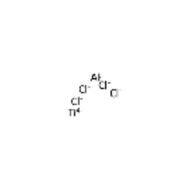 [Al].[Cl-].[Cl-].[Cl-].[Cl-].[Ti+4]